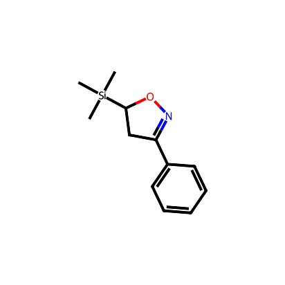 C[Si](C)(C)C1CC(c2ccccc2)=NO1